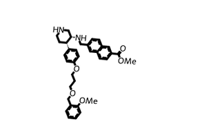 COC(=O)c1ccc2cc(CN[C@H]3CNCC[C@H]3c3ccc(OCCCOCc4ccccc4OC)cc3)ccc2c1